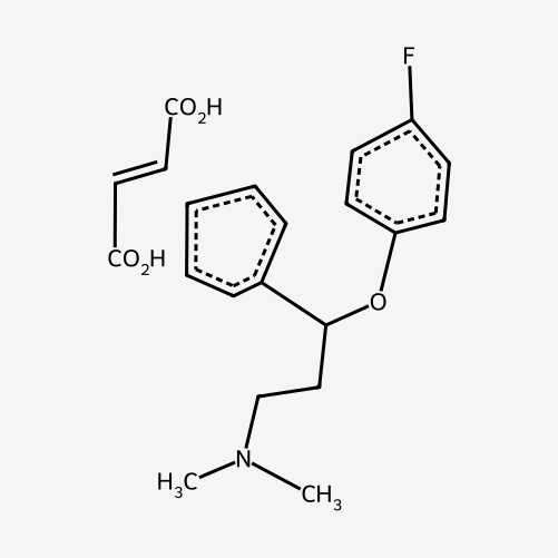 CN(C)CCC(Oc1ccc(F)cc1)c1ccccc1.O=C(O)C=CC(=O)O